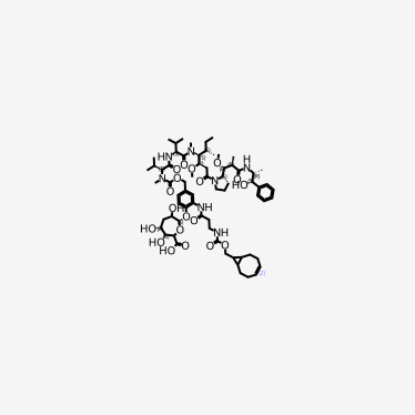 CC[C@H](C)[C@@H]([C@@H](CC(=O)N1CCC[C@H]1[C@H](OC)[C@@H](C)C(=O)N[C@H](C)[C@@H](O)c1ccccc1)OC)N(C)C(=O)[C@@H](NC(=O)[C@H](C(C)C)N(C)C(=O)OCc1ccc(O[C@@H]2OC(C(=O)O)[C@@H](O)[C@H](O)CC2O)c(NC(=O)CCNC(=O)OCC2C3CC/C=C\CCC32)c1)C(C)C